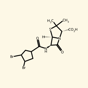 CC1(C)S[C@@H]2[C@H](NC(=O)C3CC(Br)C(Br)C3)C(=O)N2[C@H]1C(=O)O